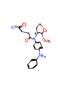 NC(=O)CCC(=O)N(c1ccc(Nc2ccccc2)cc1)[C@H]1CCOC1O